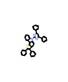 c1ccc(-c2cc(-c3ccccc3)nc(-n3c4ccccc4c4c5sc(-c6ccccc6)c(-c6ccccc6)c5ccc43)n2)cc1